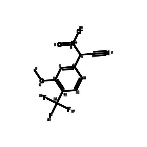 COc1cc(C(C#N)[N+](=O)[O-])ccc1C(F)(F)F